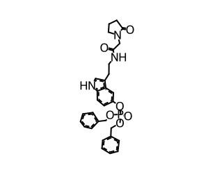 O=C(CN1CCCC1=O)NCCc1c[nH]c2ccc(OP(=O)(OCc3ccccc3)OCc3ccccc3)cc12